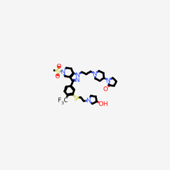 CS(=O)(=O)N1CCc2c(c(-c3ccc(C(F)(F)F)c(SCCN4CCC(O)C4)c3)nn2CCCN2CCC(N3CCCC3=O)CC2)C1